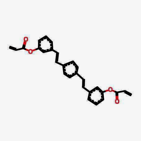 C=CC(=O)Oc1cccc(/C=C/c2ccc(/C=C/c3cccc(OC(=O)C=C)c3)cc2)c1